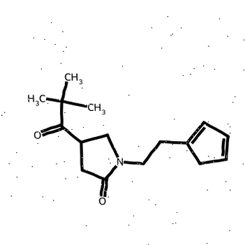 CC(C)(C)C(=O)C1CC(=O)N(CCC2=CC=CC2)C1